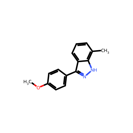 COc1ccc(-c2n[nH]c3c(C)cccc23)cc1